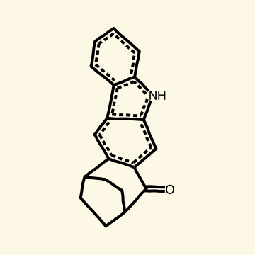 O=C1c2cc3[nH]c4ccccc4c3cc2C2CCC1CC2